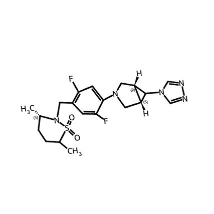 CC1CC[C@H](C)N(Cc2cc(F)c(N3C[C@@H]4C(n5cnnc5)[C@@H]4C3)cc2F)S1(=O)=O